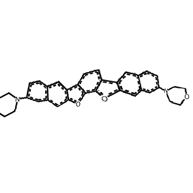 c1cc2cc3c(cc2cc1N1CCOCC1)oc1c3ccc2c3cc4ccc(N5CCOCC5)cc4cc3oc21